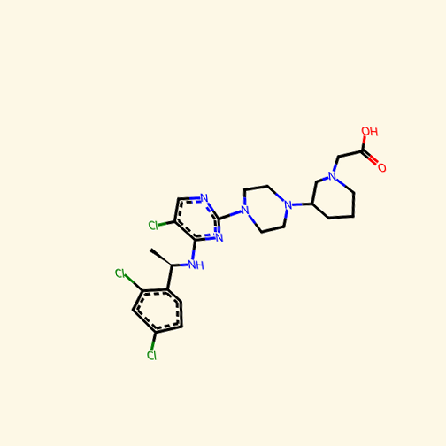 C[C@@H](Nc1nc(N2CCN(C3CCCN(CC(=O)O)C3)CC2)ncc1Cl)c1ccc(Cl)cc1Cl